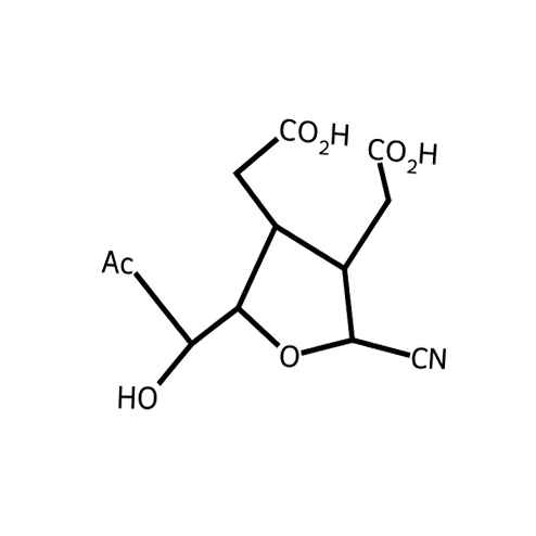 CC(=O)C(O)C1OC(C#N)C(CC(=O)O)C1CC(=O)O